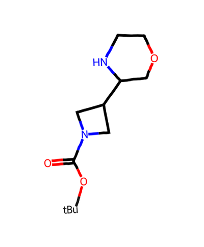 CC(C)(C)OC(=O)N1CC(C2COCCN2)C1